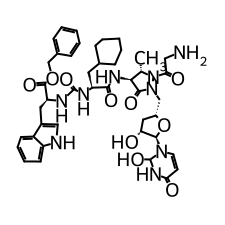 C[C@H]1[C@H](NC(=O)[C@H](CC2CCCCC2)NC(=O)N[C@@H](Cc2c[nH]c3ccccc23)C(=O)OCc2ccccc2)C(=O)N(C[C@H]2C[C@@H](O)[C@H](N3C=CC(=O)NC3O)O2)N1C(=O)CN